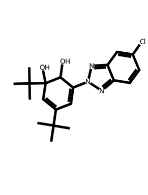 CC(C)(C)C1=CC(O)(C(C)(C)C)C(O)C(n2nc3ccc(Cl)cc3n2)=C1